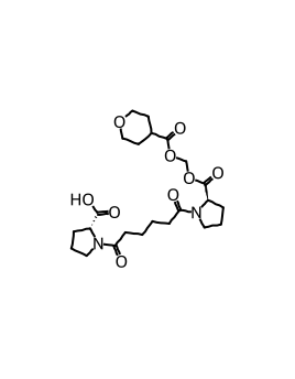 O=C(OCOC(=O)[C@H]1CCCN1C(=O)CCCCC(=O)N1CCC[C@@H]1C(=O)O)C1CCOCC1